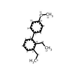 CCc1cccc(-c2ccc(OC)cc2)c1CC